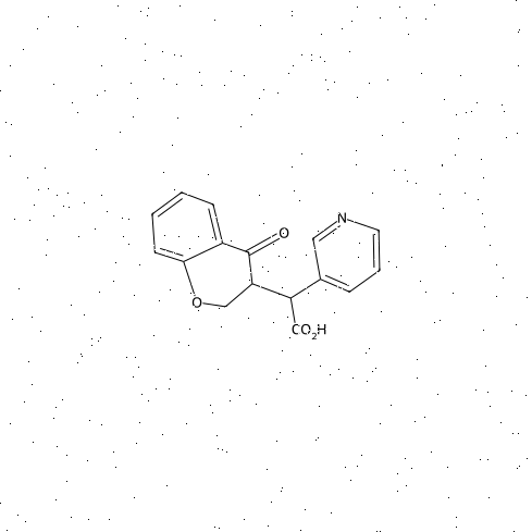 O=C1c2ccccc2OCC1C(C(=O)O)c1cccnc1